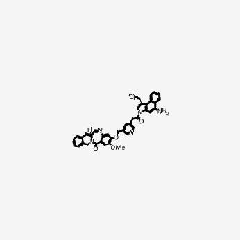 COc1cc2c(cc1OCc1cncc(CC(=O)N3C[C@@H](CCl)c4c3cc(N)c3ccccc43)c1)N=C[C@@H]1Cc3ccccc3CN1C2=O